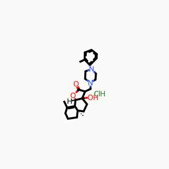 CC1=C2[C@@H]3OC(=O)C(CN4CCN(c5ccccc5C)CC4)C3(O)CC[C@@]2(C)CCC1.Cl